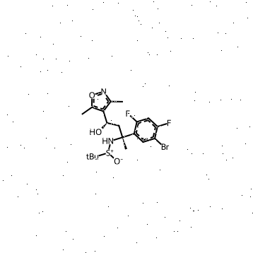 Cc1noc(C)c1[C@H](O)C[C@@](C)(N[S+]([O-])C(C)(C)C)c1cc(Br)c(F)cc1F